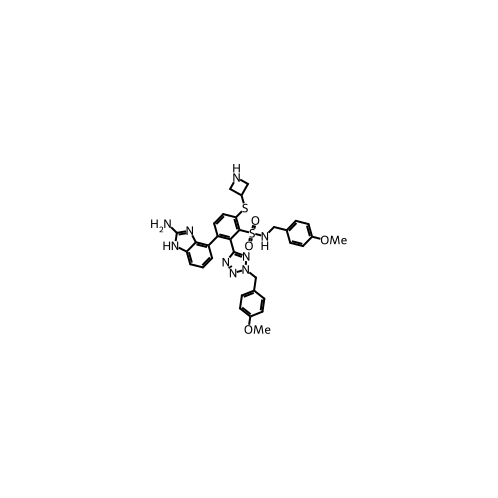 COc1ccc(CNS(=O)(=O)c2c(SC3CNC3)ccc(-c3cccc4[nH]c(N)nc34)c2-c2nnn(Cc3ccc(OC)cc3)n2)cc1